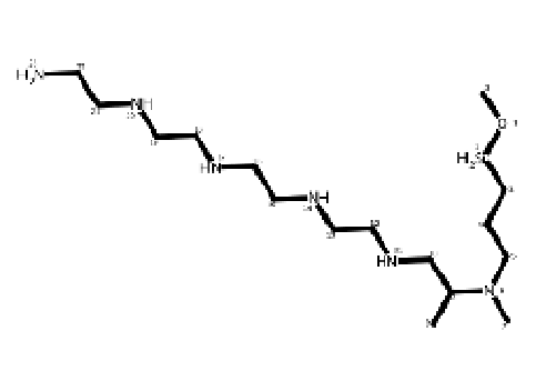 CO[SiH2]CCCN(C)C(C)CNCCNCCNCCNCCN